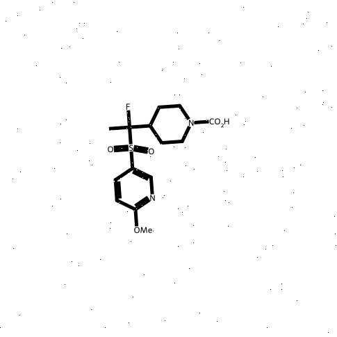 COc1ccc(S(=O)(=O)C(C)(F)C2CCN(C(=O)O)CC2)cn1